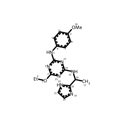 CCOc1nc(Nc2ccc(OC)cc2)nc(NC(C)c2ncc[nH]2)n1